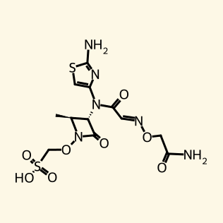 C[C@H]1[C@H](N(C(=O)C=NOCC(N)=O)c2csc(N)n2)C(=O)N1OCS(=O)(=O)O